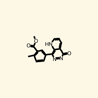 COC(=O)c1cc(-c2nnc(=O)c3ccc[nH]c2-3)ccc1C